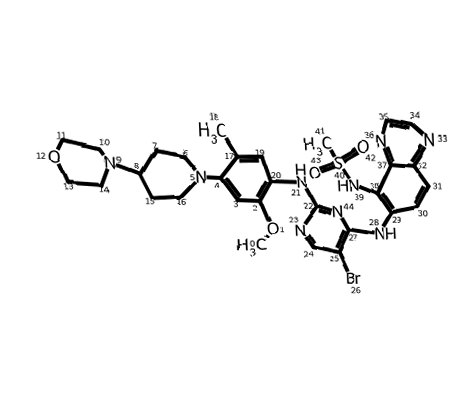 COc1cc(N2CCC(N3CCOCC3)CC2)c(C)cc1Nc1ncc(Br)c(Nc2ccc3nccnc3c2NS(C)(=O)=O)n1